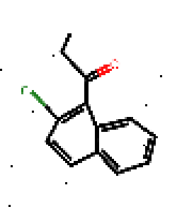 CCC(=O)c1c(Cl)ccc2ccccc12